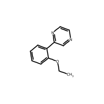 CCOc1ccccc1-c1[c]nccn1